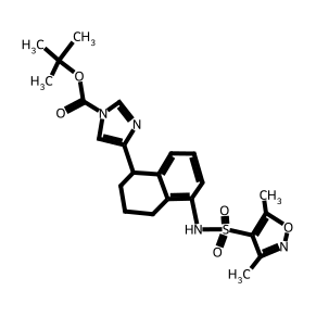 Cc1noc(C)c1S(=O)(=O)Nc1cccc2c1CCCC2c1cn(C(=O)OC(C)(C)C)cn1